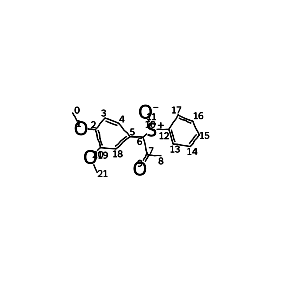 COc1ccc(C(C(C)=O)[S+]([O-])c2ccccc2)cc1OC